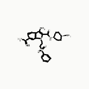 N=C(N)c1ccc2c([N+](=O)[O-])c(C(=O)N[C@H]3CC[C@H](N)CC3)n(CCS(=O)(=O)c3ccccc3)c2c1